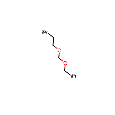 CC(C)CCOCOCC(C)C